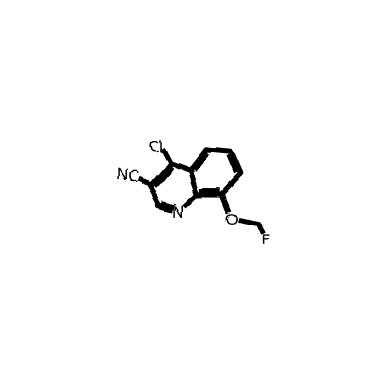 N#Cc1cnc2c(OCF)cccc2c1Cl